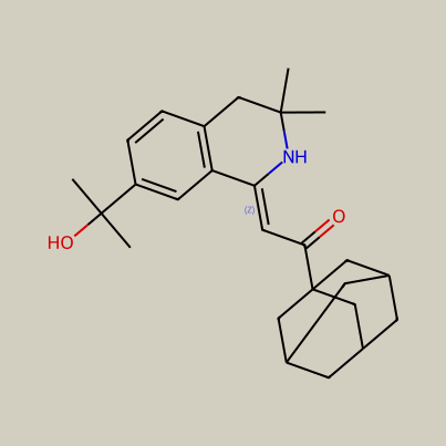 CC1(C)Cc2ccc(C(C)(C)O)cc2/C(=C/C(=O)C23CC4CC(CC(C4)C2)C3)N1